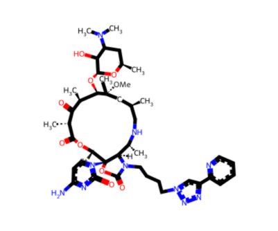 CC[C@H]1OC(=O)[C@H](C)C(=O)[C@@H](C)[C@@H](O[C@@H]2O[C@H](C)CC(N(C)C)C2O)[C@](C)(OC)C[C@@H](C)CN[C@H](C)[C@H]2N(CCCCn3cc(-c4ccccn4)nn3)C(=O)O[C@]12n1ccc(N)nc1=O